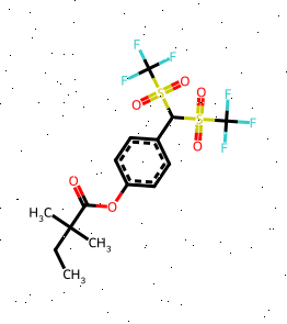 CCC(C)(C)C(=O)Oc1ccc(C(S(=O)(=O)C(F)(F)F)S(=O)(=O)C(F)(F)F)cc1